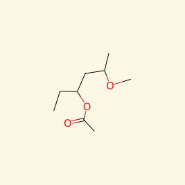 CCC(CC(C)OC)OC(C)=O